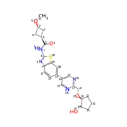 CO[C@H]1C[C@@H](C(=O)Nc2nc3ccc(-c4cnc(CO[C@H]5CCC[C@@H]5O)nc4)cc3s2)C1